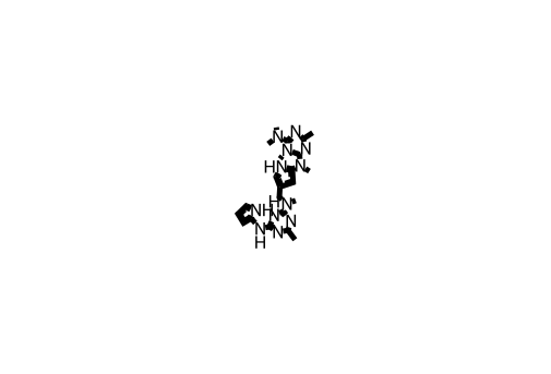 CC1N=C(Nc2ccc[nH]2)NC(N(C)Cc2c[nH]c(N(C)C3=NC(C)N=C(N(C)C)N3C)c2)=N1